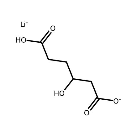 O=C([O-])CC(O)CCC(=O)O.[Li+]